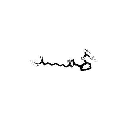 COC(=O)CCCCCCCc1nc(-c2ccccc2OC(C)C)c[nH]1